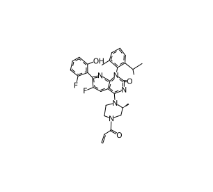 C=CC(=O)N1CCN(c2nc(=O)n(-c3c(C)cccc3C(C)C)c3nc(-c4c(O)cccc4F)c(F)cc23)[C@@H](C)C1